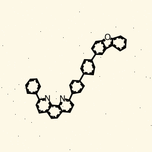 c1ccc(-c2ccc3ccc4ccc(-c5ccc(-c6ccc(-c7ccc8oc9ccccc9c8c7)cc6)cc5)nc4c3n2)cc1